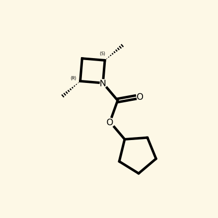 C[C@@H]1C[C@H](C)N1C(=O)OC1CCCC1